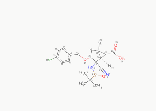 CC(C)(C)[S@@+]([O-])NC1(C#N)[C@H]2[C@@H](C[C@H]1OCc1ccc(F)cc1)[C@@H]2C(=O)O